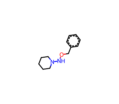 c1ccc(CONN2CCCCC2)cc1